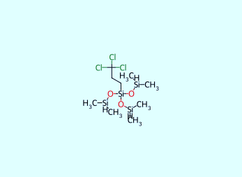 C[SiH](C)O[Si](CCC(Cl)(Cl)Cl)(O[SiH](C)C)O[SiH](C)C